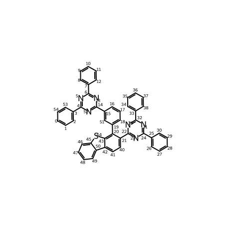 c1ccc(-c2nc(-c3ccccc3)nc(-c3cccc(-c4c(-c5nc(-c6ccccc6)nc(-c6ccccc6)n5)ccc5c4sc4ccccc45)c3)n2)cc1